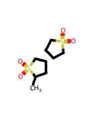 CC1CCCS1(=O)=O.O=S1(=O)CCCC1